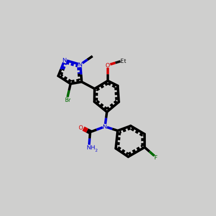 CCOc1ccc(N(C(N)=O)c2ccc(F)cc2)cc1-c1c(Br)cnn1C